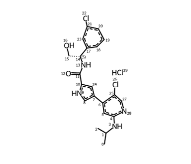 CC(C)Nc1cc(-c2c[nH]c(C(=O)N[C@H](CO)c3cccc(Cl)c3)c2)c(Cl)cn1.Cl